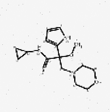 COC(CN1CCOCC1)(C(=S)NC1CC1)c1ccc[nH]1